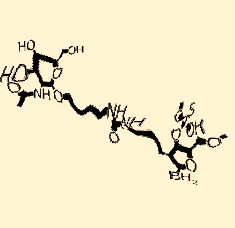 B[C@@H]1O[C@H](COC)C(OP(O)(=S)OC)[C@@H]1CCCNC(=O)NCCCCO[C@@H]1O[C@H](CO)[C@H](O)[C@H](O)[C@H]1NC(C)=O